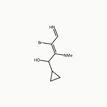 CN/C(=C(/Br)C=N)C(O)C1CC1